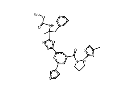 Cc1csc([C@H]2CCCN2C(=O)c2cc(-c3nnc(C(C)(Cc4ccccc4)NC(=O)OC(C)(C)C)o3)nc(-n3ccnc3)c2)n1